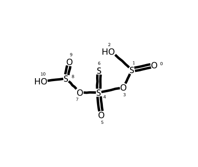 O=S(O)OS(=O)(=S)OS(=O)O